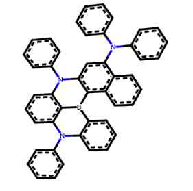 c1ccc(N2c3ccccc3B3c4c2cccc4N(c2ccccc2)c2cc(N(c4ccccc4)c4ccccc4)c4ccccc4c23)cc1